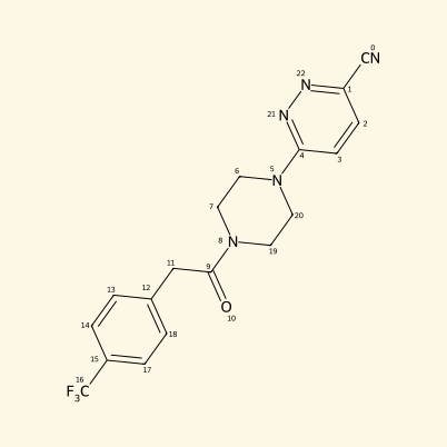 N#Cc1ccc(N2CCN(C(=O)Cc3ccc(C(F)(F)F)cc3)CC2)nn1